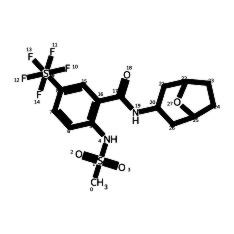 CS(=O)(=O)Nc1ccc(S(F)(F)(F)(F)F)cc1C(=O)NC1CC2CCC(C1)O2